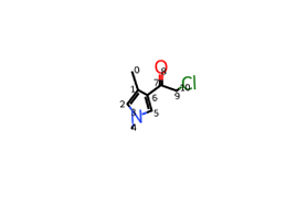 Cc1cn(C)cc1C(=O)CCl